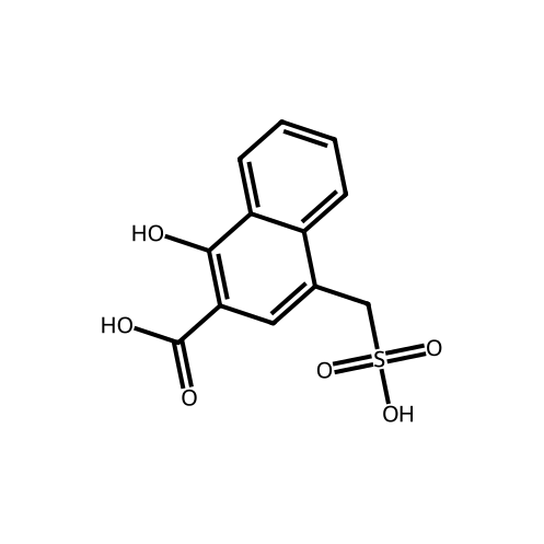 O=C(O)c1cc(CS(=O)(=O)O)c2ccccc2c1O